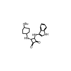 CCCCC1CCC(N[C@@H]2C(=O)C(=O)C2Nc2c[nH]c3ccccc23)CC1